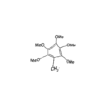 [CH2]c1c(OC)c(OC)c(OC)c(OC)c1OC